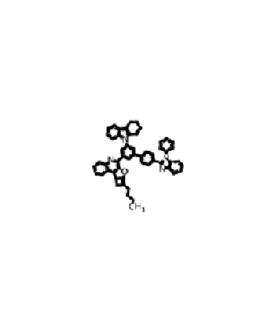 CCCCC1=C2Oc3c(-c4cc(-c5ccc(-c6nc7ccccc7n6-c6ccccc6)cc5)cc(-n5c6c(c7ccccc75)CCC=C6)c4)nc4ccccc4c3C2C1